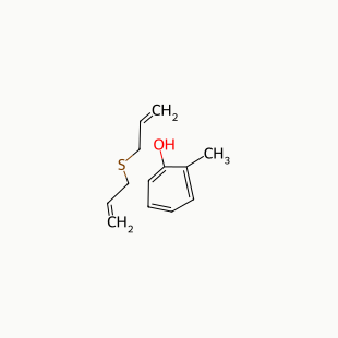 C=CCSCC=C.Cc1ccccc1O